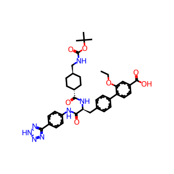 CCOc1cc(C(=O)O)ccc1-c1ccc(C[C@H](NC(=O)[C@H]2CC[C@H](CNC(=O)OC(C)(C)C)CC2)C(=O)Nc2ccc(-c3nn[nH]n3)cc2)cc1